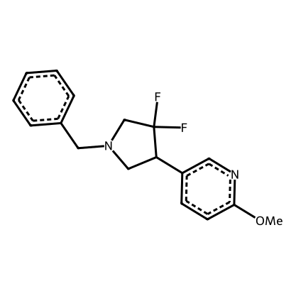 COc1ccc(C2CN(Cc3ccccc3)CC2(F)F)cn1